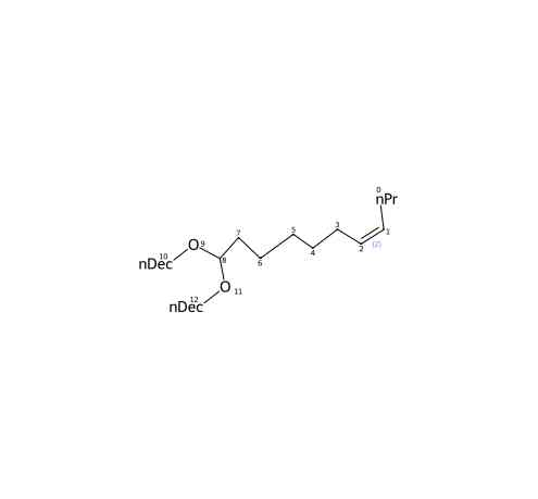 CCC/C=C\CCCCCC(OCCCCCCCCCC)OCCCCCCCCCC